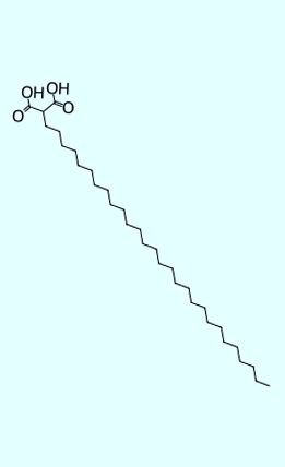 CCCCCCCCCCCCCCCCCCCCCCCCCCCCC(C(=O)O)C(=O)O